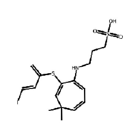 C=C(/C=C/I)SC1=CC(C)(C)C=CC=C1NCCCS(=O)(=O)O